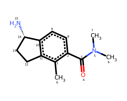 Cc1c(C(=O)N(C)C)ccc2c1CC[C@@H]2N